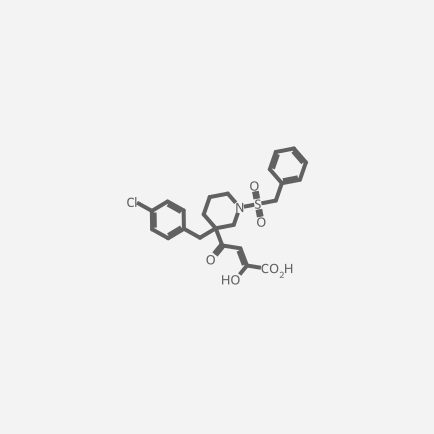 O=C(O)/C(O)=C/C(=O)C1(Cc2ccc(Cl)cc2)CCCN(S(=O)(=O)Cc2ccccc2)C1